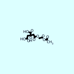 CC(=O)OC(=O)COC(=O)CC(O)(CC(=O)O)C(=O)O